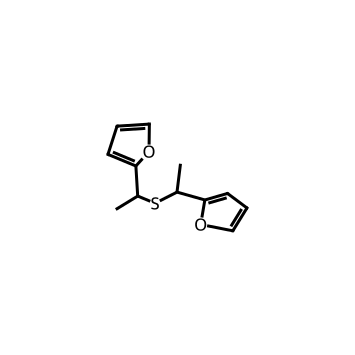 CC(SC(C)c1ccco1)c1ccco1